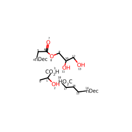 CC(O)C(=O)O.CCCCCCCCCCCC(=O)OCC(O)CO.CCCCCCCCCCCCCC(=O)O